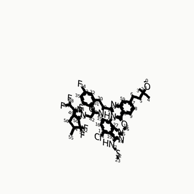 COC(C)(C)CCc1ccc2c(=O)n(-c3ccc(Cl)c4c(NSC)nn(C)c34)c(C(Cc3cc(F)cc(F)c3)NC(=O)Cn3nc(C(F)F)c4c3C(F)(F)C(C)C4)nc2c1